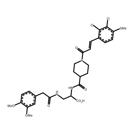 COc1ccc(CC(=O)NCC(NC(=O)C2CCN(C(=O)C=Cc3ccc(SC)c(Cl)c3Cl)CC2)C(=O)O)cc1OC